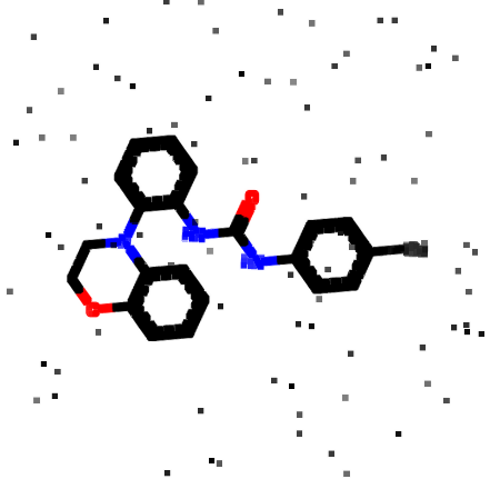 CC(C)(C)c1ccc(NC(=O)Nc2ccccc2N2CCOc3ccccc32)cc1